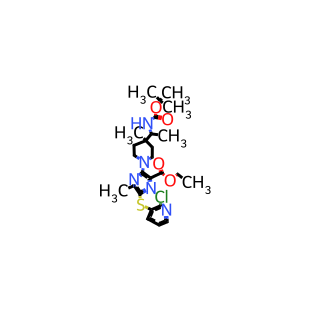 CCOC(=O)c1nc(Sc2cccnc2Cl)c(C)nc1N1CCC(C)(C(C)NC(=O)OC(C)(C)C)CC1